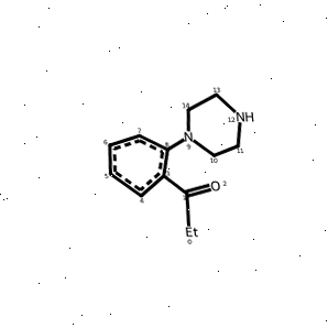 CCC(=O)c1ccccc1N1CCNCC1